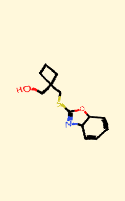 OCC1(CSC2=NC3C=CC=CC3O2)CCC1